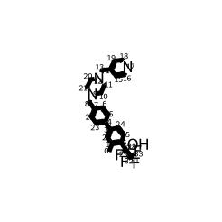 Cc1cc(-c2ccc(CN3CCN(Cc4ccncc4)CC3)cc2)ccc1C(O)(F)C(F)(F)F